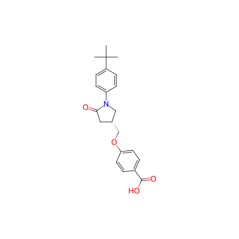 CC(C)(C)c1ccc(N2C[C@H](COc3ccc(C(=O)O)cc3)CC2=O)cc1